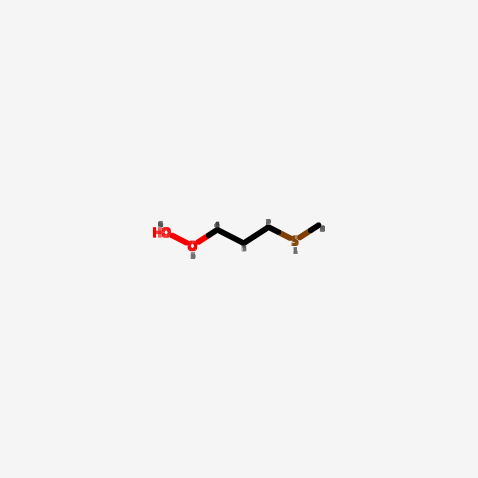 CSCCCOO